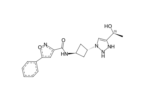 C[C@H](O)C1=CN([C@H]2C[C@H](NC(=O)c3cc(-c4ccccc4)on3)C2)NN1